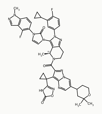 C[C@H]1c2c(nn(-c3ccc(F)c(C4CC4)c3)c2-n2ccn(-c3ccc4c(cnn4C)c3F)c2=O)CCN1C(=O)c1nn2cc(C3CCOC(C)(C)C3)cnc2c1C1(c2noc(=O)[nH]2)CC1